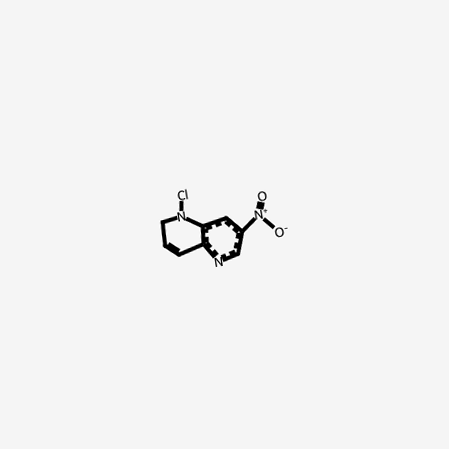 O=[N+]([O-])c1cnc2c(c1)N(Cl)CC=C2